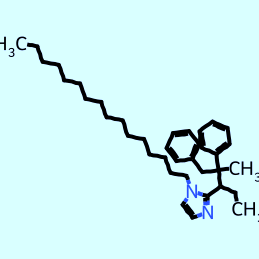 CCCCCCCCCCCCCCCCn1ccnc1C(CC)C(C)(Cc1ccccc1)c1ccccc1